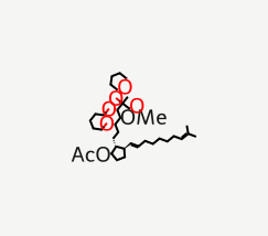 COC(=O)C(C)(OC1CCCCO1)C(CCCC[C@@H]1[C@@H](/C=C/CCCCCC=C(C)C)CC[C@H]1OC(C)=O)OC1CCCCO1